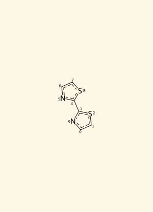 c1csc(-c2nccs2)n1